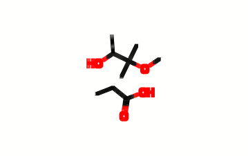 CCC(=O)O.COC(C)(C)C(C)O